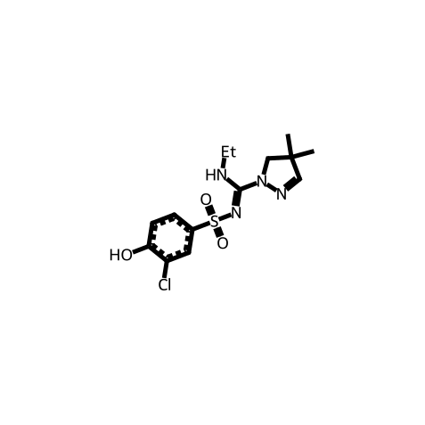 CCN/C(=N\S(=O)(=O)c1ccc(O)c(Cl)c1)N1CC(C)(C)C=N1